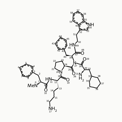 CN[C@@H](Cc1ccccc1)C(=O)N[C@@H](CCCCN)C(=O)N1CCC[C@H]1C(=O)N(C(=O)[C@H](N)CC1CCCCC1)[C@@H](Cc1ccccc1)C(=O)NCCc1c[nH]c2ccccc12